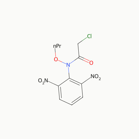 CCCON(C(=O)CCl)c1c([N+](=O)[O-])cccc1[N+](=O)[O-]